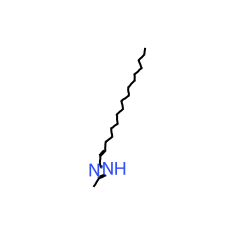 CCCCCCCCCCCCCCCC=Cc1nc(C)c[nH]1